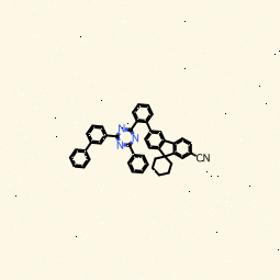 N#Cc1ccc2c(c1)C1(CCCCC1)c1ccc(-c3ccccc3-c3nc(-c4ccccc4)nc(-c4cccc(-c5ccccc5)c4)n3)cc1-2